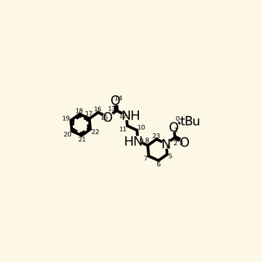 CC(C)(C)OC(=O)N1CCCC(NCCNC(=O)OCc2ccccc2)C1